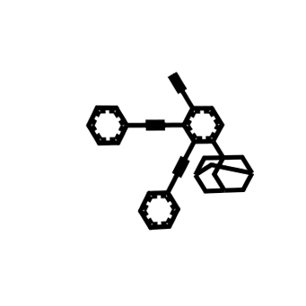 C#Cc1ccc(C23CC4CC(CC(C4)C2)C3)c(C#Cc2ccccc2)c1C#Cc1ccccc1